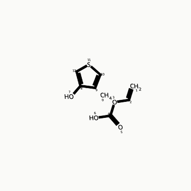 C.C=COC(=O)O.Oc1ccsc1